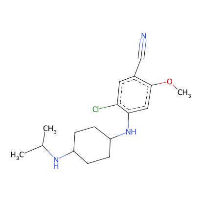 COc1cc(NC2CCC(NC(C)C)CC2)c(Cl)cc1C#N